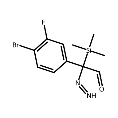 C[Si](C)(C)C(C=O)(N=N)c1ccc(Br)c(F)c1